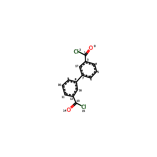 O=C(Cl)c1cccc(-c2cccc(C(=O)Cl)c2)c1